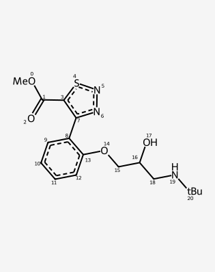 COC(=O)c1snnc1-c1ccccc1OCC(O)CNC(C)(C)C